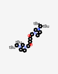 CC(C)(C)c1cc(-n2c3ccccc3c3c(N(c4ccccc4)c4ccc5oc6cc7cc8c(cc7cc6c5c4)oc4ccc(N(c5ccccc5)c5cccc6c5c5ccccc5n6-c5cc(C(C)(C)C)cc(C(C)(C)C)c5)cc48)cccc32)cc(C(C)(C)C)c1